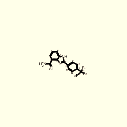 NC(=O)c1cccc2[nH]c(-c3ccc(C(F)(F)F)cc3)nc12